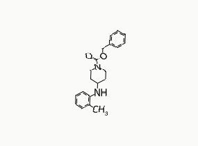 Cc1ccccc1NC1CCN(C(=O)OCc2ccccc2)CC1